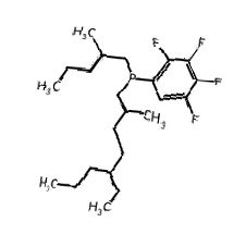 CCCC(C)CP(CC(C)CCC(CC)CCC)c1cc(F)c(F)c(F)c1F